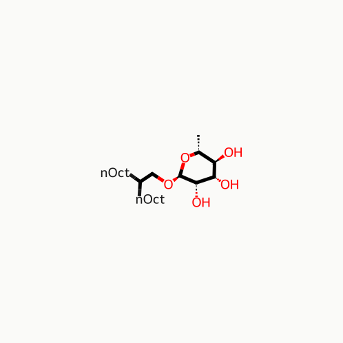 CCCCCCCCC(CCCCCCCC)CO[C@H]1O[C@H](C)[C@@H](O)[C@H](O)[C@@H]1O